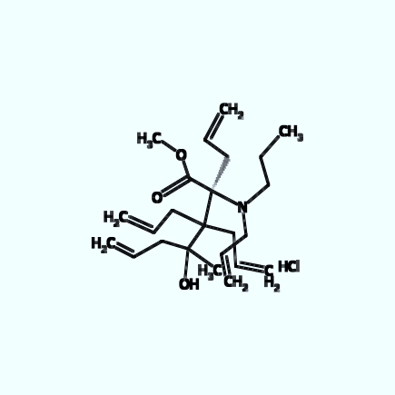 C=CCN(CCC)[C@](CC=C)(C(=O)OC)C(CC=C)(CC=C)C(C)(O)CC=C.Cl